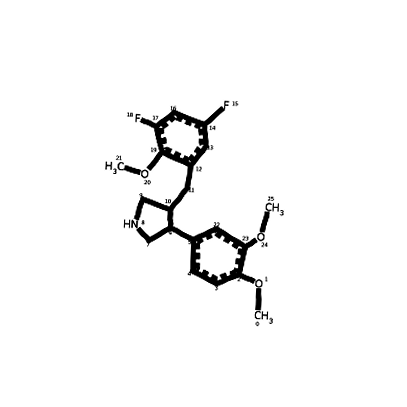 COc1ccc(C2CNCC2Cc2cc(F)cc(F)c2OC)cc1OC